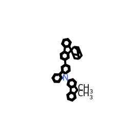 CC1(C)c2ccccc2-c2cc(-n3c4ccccc4c4cc(-c5ccc6c(c5)C5(c7ccccc7-6)C6CC7CC(C6)CC5C7)ccc43)ccc21